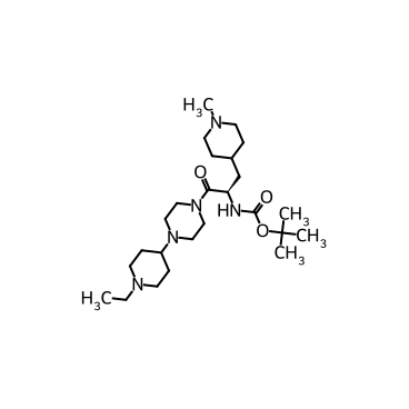 CCN1CCC(N2CCN(C(=O)[C@@H](CC3CCN(C)CC3)NC(=O)OC(C)(C)C)CC2)CC1